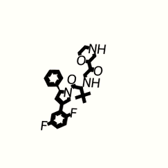 CC(C)(C)[C@H](NCC(=O)C1CNCCO1)C(=O)N1CC(c2cc(F)ccc2F)=C[C@H]1c1ccccc1